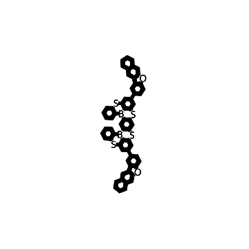 c1ccc2c(c1)Sc1cc(-c3ccc4oc5cc6ccccc6cc5c4c3)cc3c1B2c1cc2c(cc1S3)Sc1cc(-c3ccc4oc5cc6ccccc6cc5c4c3)cc3c1B2c1ccccc1S3